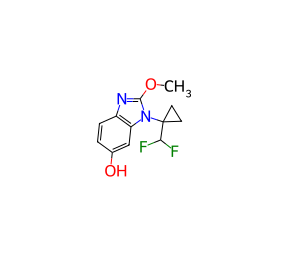 COc1nc2ccc(O)cc2n1C1(C(F)F)CC1